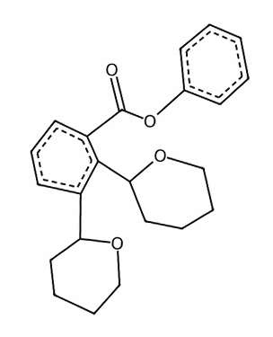 O=C(Oc1ccccc1)c1cccc(C2CCCCO2)c1C1CCCCO1